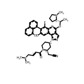 CC(Oc1nc2c(F)c(-c3cccc4cccc(Cl)c34)c(Cl)cc2c2c1cnn2[C@H]1CCN(C(=O)/C=C/CN(C)C)[C@H](CC#N)C1)[C@@H]1CCCN1C